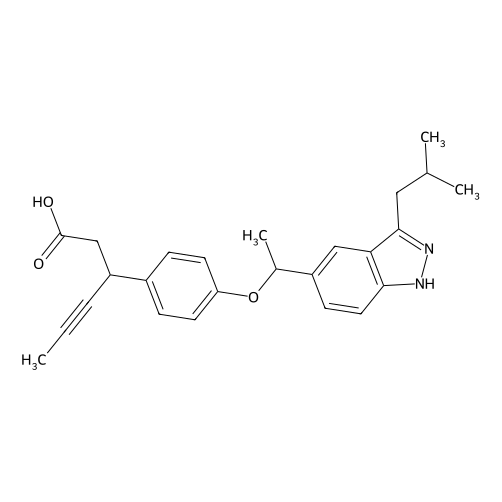 CC#CC(CC(=O)O)c1ccc(OC(C)c2ccc3[nH]nc(CC(C)C)c3c2)cc1